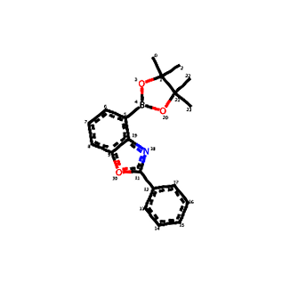 CC1(C)OB(c2cccc3oc(-c4ccccc4)nc23)OC1(C)C